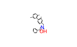 Cc1ccc(C)c(-c2ccc(CN(C)CC(O)c3ccccc3)cc2C)c1